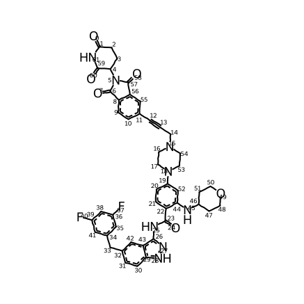 O=C1CCC(N2C(=O)c3ccc(C#CCN4CCN(c5ccc(C(=O)Nc6n[nH]c7ccc(Cc8cc(F)cc(F)c8)cc67)c(NC6CCOCC6)c5)CC4)cc3C2=O)C(=O)N1